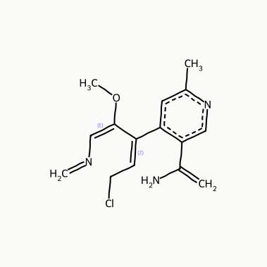 C=N/C=C(OC)\C(=C/CCl)c1cc(C)ncc1C(=C)N